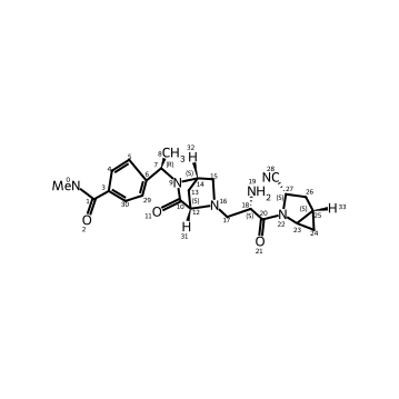 CNC(=O)c1ccc([C@@H](C)N2C(=O)[C@@H]3C[C@H]2CN3C[C@H](N)C(=O)N2C3C[C@H]3C[C@H]2C#N)cc1